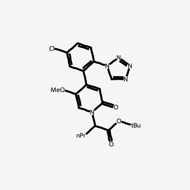 CCCC(C(=O)OC(C)(C)C)n1cc(OC)c(-c2cc(Cl)ccc2-n2cnnn2)cc1=O